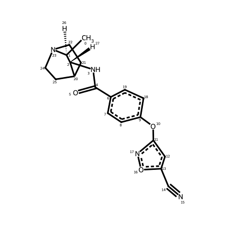 C[C@H]1[C@H](NC(=O)c2ccc(Oc3cc(C#N)on3)cc2)C2CCN1CC2